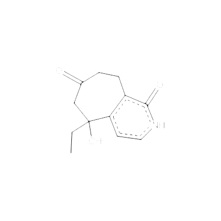 CCC1(O)CC(=O)CCc2c1cc[nH]c2=O